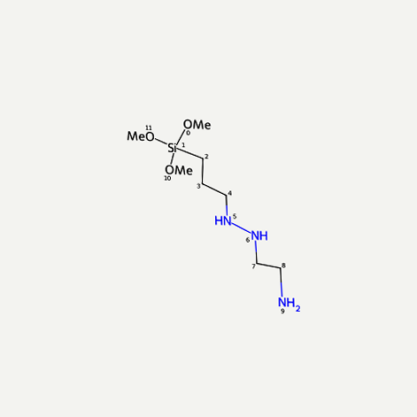 CO[Si](CCCNNCCN)(OC)OC